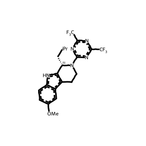 COc1ccc2[nH]c3c(c2c1)CCN(c1nc(C(F)(F)F)nc(C(F)(F)F)n1)[C@H]3CC(C)C